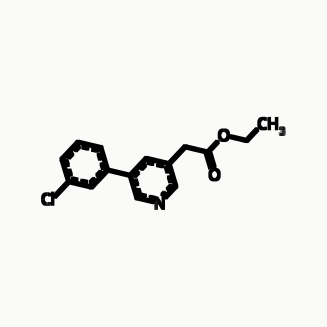 CCOC(=O)Cc1cncc(-c2cccc(Cl)c2)c1